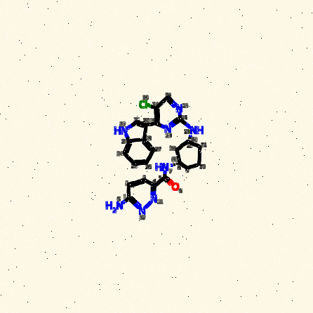 Nc1ccc(C(=O)N[C@H]2CCC[C@@H](Nc3ncc(Cl)c(-c4c[nH]c5ccccc45)n3)C2)nn1